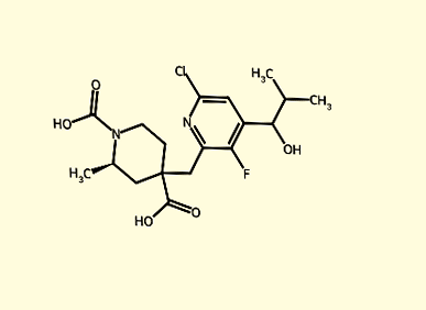 CC(C)C(O)c1cc(Cl)nc(CC2(C(=O)O)CCN(C(=O)O)[C@H](C)C2)c1F